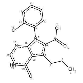 CCCc1c(C(=O)O)n(-c2ccccc2Cl)c2nc[nH]c(=O)c12